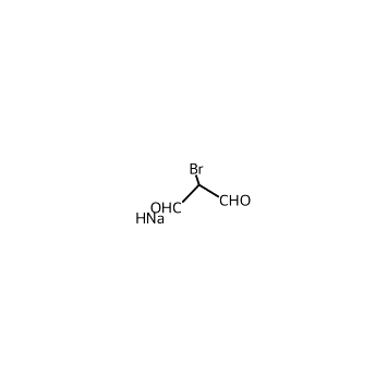 O=CC(Br)C=O.[NaH]